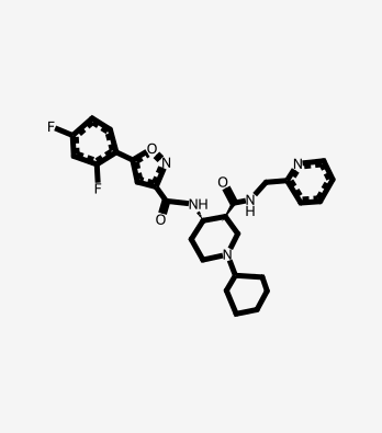 O=C(N[C@H]1CCN(C2CCCCC2)C[C@@H]1C(=O)NCc1ccccn1)c1cc(-c2ccc(F)cc2F)on1